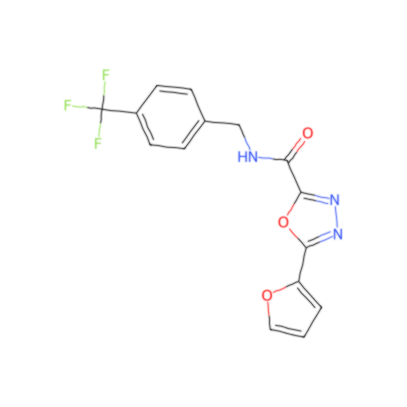 O=C(NCc1ccc(C(F)(F)F)cc1)c1nnc(-c2ccco2)o1